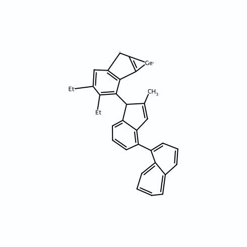 CCc1cc2c(c(C3C(C)=Cc4c(-c5cccc6ccccc56)cccc43)c1CC)[C]1=[C]([CH]2)[Ge]1